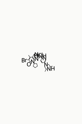 Cc1c(Br)c(=O)n(C2CCCC2)c2nc(Nc3ccc(N4CC(C)NC(C)C4)cn3)ncc12.Cl